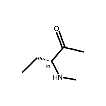 CC[C@@H](NC)C(C)=O